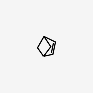 C1=CC2C[C]1C2